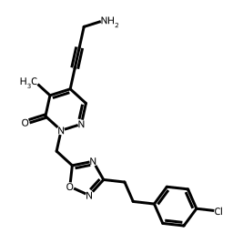 Cc1c(C#CCN)cnn(Cc2nc(CCc3ccc(Cl)cc3)no2)c1=O